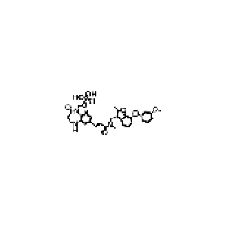 COc1cccc(Oc2cccc3c(CN(C)C(=O)/C=C/c4cnc5c(c4)NCCC(=O)N5COP(=O)(O)O)c(C)oc23)c1